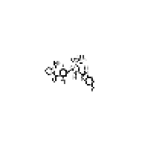 CS(=O)(=O)CCC(NC(=O)c1ccc(C(=O)N2CCC[C@H]2CN)c(Cl)c1)c1nc2cc(Cl)ccc2[nH]1